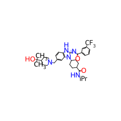 CC(C)NC(=O)C1CCC(n2/c(=N\C(=O)c3cccc(C(F)(F)F)c3)[nH]c3ccc(CN4CCC(C(C)(C)O)CC4)cc32)CC1